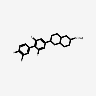 CCCCCC1CCC2CC(c3cc(F)c(-c4ccc(F)c(F)c4)c(F)c3)CCC2C1